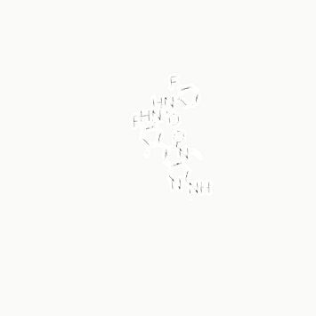 CCn1c(=O)c(-c2cc(NC(=O)Nc3ccccc3F)c(F)cc2C)cc2cnc(NC)cc21